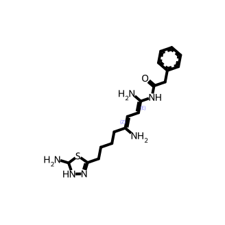 N/C(=C\C=C(/N)NC(=O)Cc1ccccc1)CCCCC1=NNC(N)S1